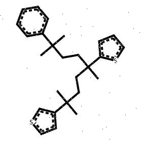 CC(C)(CCC(C)(CCC(C)(C)c1ccsc1)c1cccs1)c1ccccc1